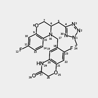 Cn1nnc(CC2COc3cc(F)ccc3N2Cc2cc3c(cc2F)OCC(=O)N3)n1